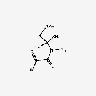 CCC(=O)C(=O)N(C)C(C)(C)CNC